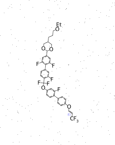 CCOCCCC1COC(c2cc(F)c(-c3ccc(C(F)(F)Oc4ccc(-c5ccc(O/C=C/C(F)(F)F)cc5)c(F)c4)c(F)c3)c(F)c2)OC1